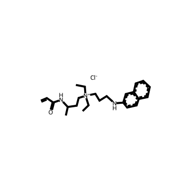 C=CC(=O)NC(C)CC[N+](CC)(CC)CCCNc1ccc2ccccc2c1.[Cl-]